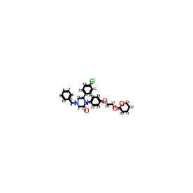 O=C1CN(Cc2ccccc2)C[C@@H](c2ccc(Cl)cc2)N1c1ccc(OCCOC2CCCCO2)cc1